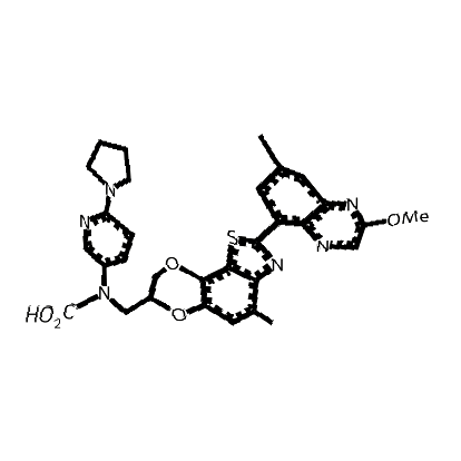 COc1cnc2c(-c3nc4c(C)cc5c(c4s3)OCC(CN(C(=O)O)c3ccc(N4CCCC4)nc3)O5)cc(C)cc2n1